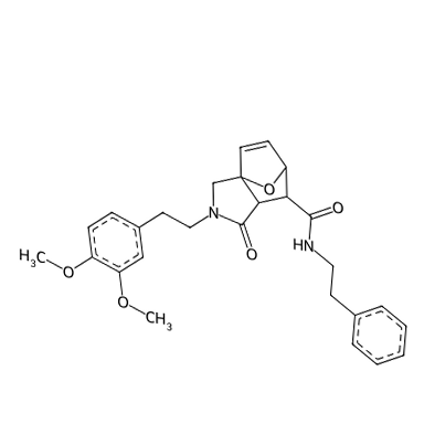 COc1ccc(CCN2CC34C=CC(O3)C(C(=O)NCCc3ccccc3)C4C2=O)cc1OC